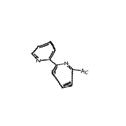 CC(=O)c1cccc(-c2ccccn2)n1